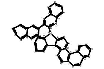 c1ccc2cc(-c3nc4ccccc4nc3-n3c4ccccc4c4c5ccc6ccc7ccccc7c6c5ccc43)ccc2c1